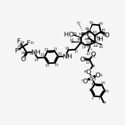 Cc1ccc(S(=O)(=O)OCC(=O)O[C@@H]2C[C@](C)(CCNc3ccc(CNC(=O)C(F)(F)F)cc3)[C@@H](O)[C@H](C)[C@]34CCC(=O)[C@H]3[C@@]2(C)[C@H](C)CC4)cc1